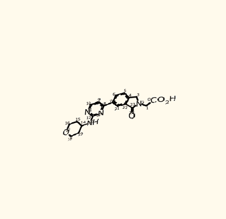 O=C(O)CN1Cc2ccc(-c3ccnc(NC4CCOCC4)n3)cc2C1=O